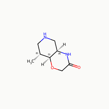 C[C@@H]1CNC[C@H]2NC(=O)CO[C@@H]12